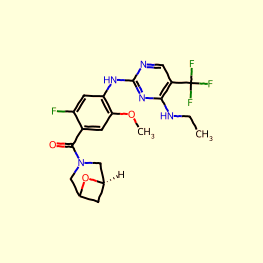 CCNc1nc(Nc2cc(F)c(C(=O)N3CC4C[C@H](C3)O4)cc2OC)ncc1C(F)(F)F